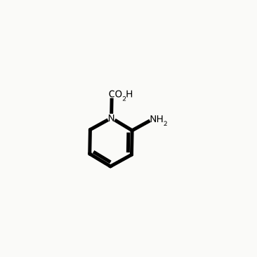 NC1=CC=CCN1C(=O)O